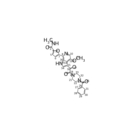 CNC(=O)c1ccc(-c2ncc(OC)c3c(C(=O)C(=O)N4CCN(C(=O)c5ccccc5)CC4)c[nH]c23)o1